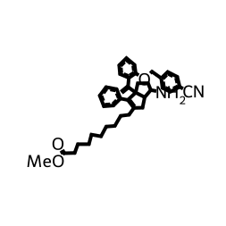 C=C(c1ccccc1OCc1ccc(C#N)cc1)C12CCC(N)C1CC(CCCCCCCCCC(=O)OC)=C2c1ccccc1